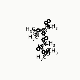 CCc1ccc([C@H]2C[C@H](CN[C@H](C)c3cccc4c(-c5ccc6c(c5)O[C@@H](CN[C@H](C)c5cccc7ccccc57)C[C@H]6c5ccc(CC)c(C(=O)OC)c5)cccc34)Oc3ccccc32)cc1C(=O)OC